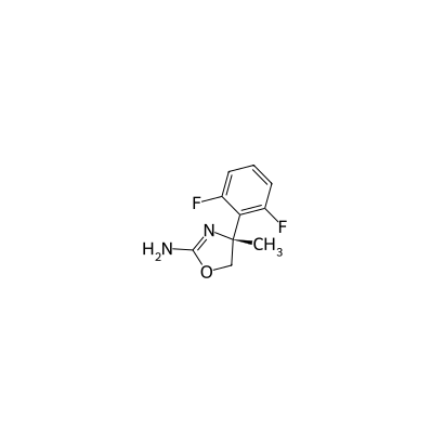 C[C@@]1(c2c(F)cccc2F)COC(N)=N1